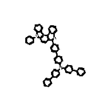 c1ccc(-c2ccc(N(c3ccc(-c4ccccc4)cc3)c3ccc(-c4ccc(-c5nc6ccccc6c6c5ccc5c6c6ccccc6n5-c5ccccc5)cc4)cc3)cc2)cc1